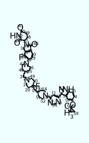 CC1(Oc2ccc3[nH]nc(-c4cc(N5CCC(CC6(F)CCN(CC7CCN(c8ccc9c(c8F)CN(C8CCC(=O)NC8=O)C9=O)CC7)CC6)CC5)ncn4)c3c2)CC1